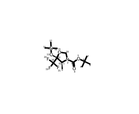 C[C@@H]1N(C(=O)OC(C)(C)C)CO[C@@]1(O[Si](C)(C)C)C(F)(F)F